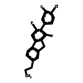 CCCc1ccc2c(c1)Cc1c-2cc(F)c(-c2ccc(Cl)c(F)c2)c1F